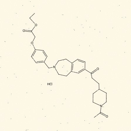 CCOC(=O)COc1ccc(CN2CCc3ccc(C(=O)CCC4CCN(C(C)=O)CC4)cc3CC2)cc1.Cl